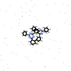 c1ccc(-c2nc(-c3ccccc3)nc(-c3cccc4sc5ccc(-c6nc(-c7ccccc7)nc7c6sc6ccccc67)cc5c34)n2)cc1